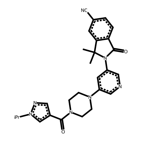 CC(C)n1cc(C(=O)N2CCN(c3cncc(N4C(=O)c5ccc(C#N)cc5C4(C)C)c3)CC2)cn1